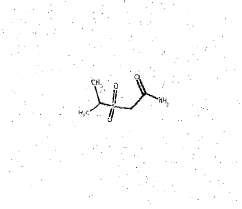 CC(C)S(=O)(=O)CC(N)=O